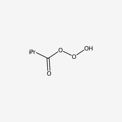 CC(C)C(=O)OOO